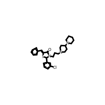 O=C1C(=Cc2ccccc2)SC(c2cccc(Cl)c2)N1CCCN1CCC(N2CCCCC2)CC1